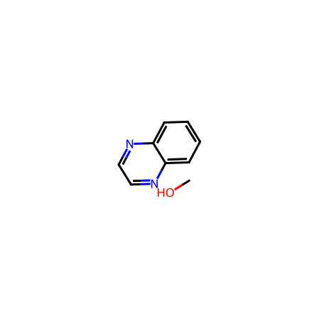 CO.c1ccc2nccnc2c1